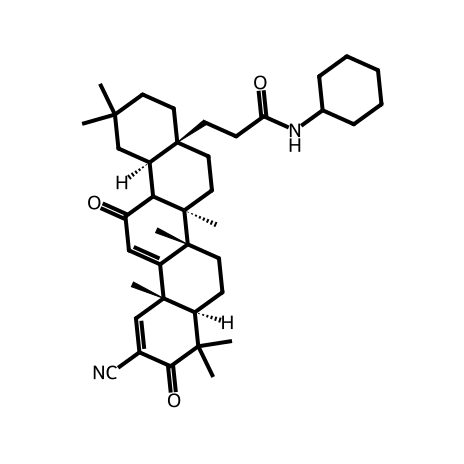 CC1(C)CC[C@]2(CCC(=O)NC3CCCCC3)CC[C@]3(C)C(C(=O)C=C4[C@@]5(C)C=C(C#N)C(=O)C(C)(C)[C@@H]5CC[C@]43C)[C@H]2C1